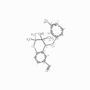 CC1(C)Oc2ccc(C=O)cc2C(Oc2ccnc(O)c2)C1(C)O